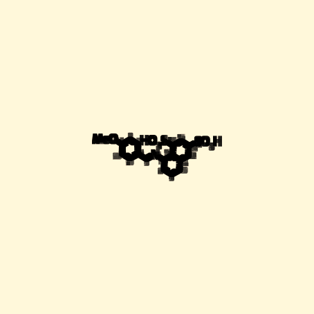 COc1ccc(C=Nc2cccc3cc(S(=O)(=O)O)cc(S(=O)(=O)O)c23)cc1